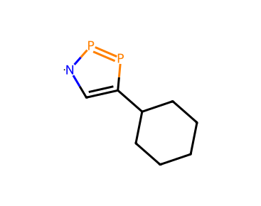 C1=C(C2CCCCC2)P=P[N]1